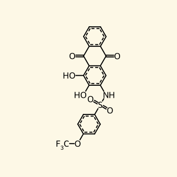 O=C1c2ccccc2C(=O)c2c1cc(NS(=O)(=O)c1ccc(OC(F)(F)F)cc1)c(O)c2O